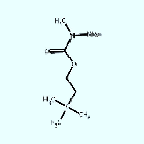 CNN(C)C(=O)OCCS(C)(C)C